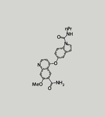 CCCNC(=O)n1ccc2cc(Oc3ccnc4cc(OC)c(C(N)=O)cc34)ccc21